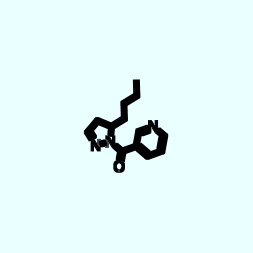 CCCCC1CC=NN1C(=O)c1cccnc1